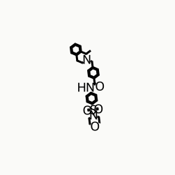 CC1c2ccccc2CCN1Cc1ccc(C(=O)Nc2ccc(S(=O)(=O)N3CCOCC3)cc2)cc1